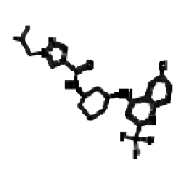 CC(C)Cn1cc(C(=O)N[C@@H]2CCC[C@H](Nc3cc(C(F)(F)F)nc4ccc(Cl)cc34)C2)cn1